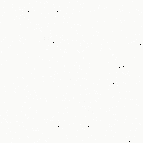 O=C(O)c1ccncc1Sc1ccc2c(c1)OCCO2